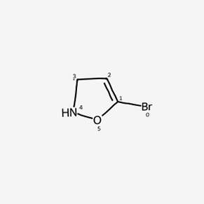 BrC1=C[CH]NO1